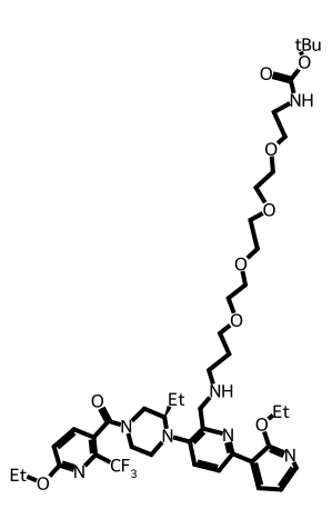 CCOc1ccc(C(=O)N2CCN(c3ccc(-c4cccnc4OCC)nc3CNCCCOCCOCCOCCOCCNC(=O)OC(C)(C)C)[C@H](CC)C2)c(C(F)(F)F)n1